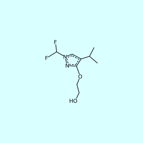 CC(C)c1cn(C(F)F)nc1OCCO